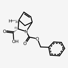 O=C(O)[C@@H]1[C@H]2C=CC(C2)N1C(=O)OCc1ccccc1